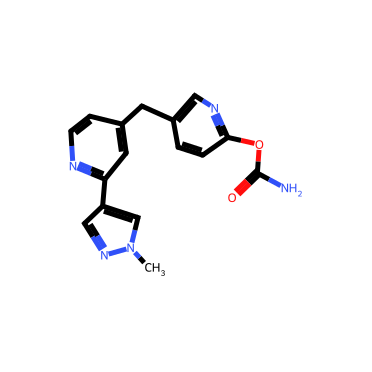 Cn1cc(-c2cc(Cc3ccc(OC(N)=O)nc3)ccn2)cn1